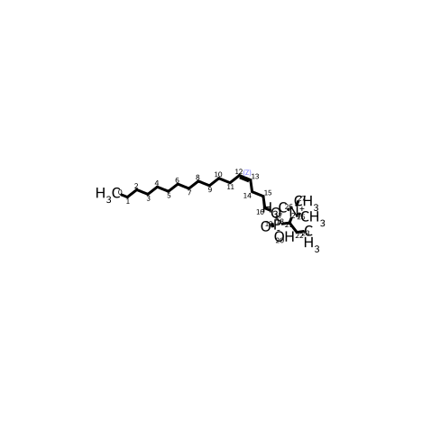 CCCCCCCCCCCC/C=C\CCCOP(=O)(O)C(CC)[N+](C)(C)C